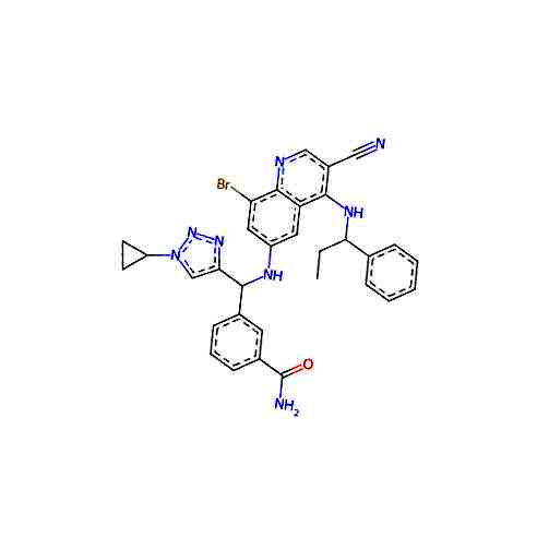 CCC(Nc1c(C#N)cnc2c(Br)cc(NC(c3cccc(C(N)=O)c3)c3cn(C4CC4)nn3)cc12)c1ccccc1